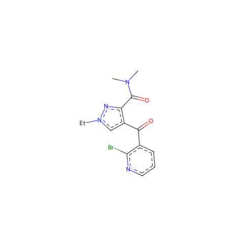 CCn1cc(C(=O)c2cccnc2Br)c(C(=O)N(C)C)n1